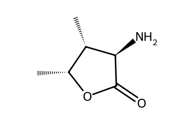 C[C@H]1[C@@H](C)OC(=O)[C@@H]1N